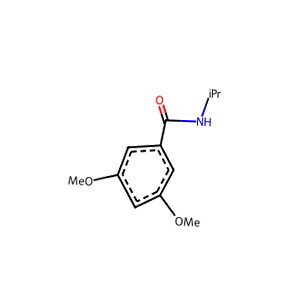 COc1cc(OC)cc(C(=O)NC(C)C)c1